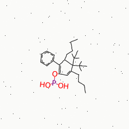 CCCCC1=CC(OP(O)O)=C(c2ccccc2)C(CCCC)C1(C(C)(C)C)C(C)(C)C